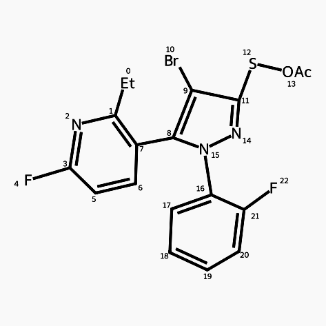 CCc1nc(F)ccc1-c1c(Br)c(SOC(C)=O)nn1-c1ccccc1F